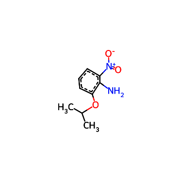 CC(C)Oc1cccc([N+](=O)[O-])c1N